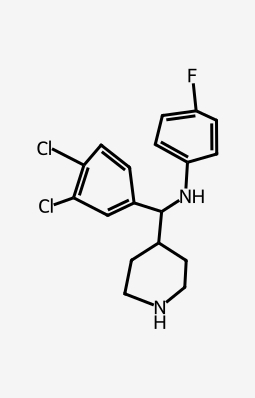 Fc1ccc(NC(c2ccc(Cl)c(Cl)c2)C2CCNCC2)cc1